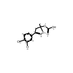 CC1(OC(=O)O)CC(c2ccc(Cl)c(Cl)c2)=NO1